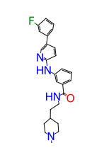 CN1CCC(CCNC(=O)c2cccc(Nc3ccc(-c4cccc(F)c4)cn3)c2)CC1